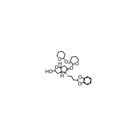 OC1C[C@@H]2[C@@H](CCCC3Oc4ccccc4O3)[C@H](OC3OCCC[C@H]3OC3CCCCO3)C[C@@H]2O1